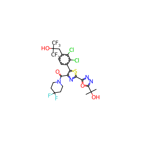 CC(C)(O)c1nnc(-c2nc(C(=O)N3CCC(F)(F)CC3)c(-c3ccc(CC(O)(C(F)(F)F)C(F)(F)F)c(Cl)c3Cl)s2)o1